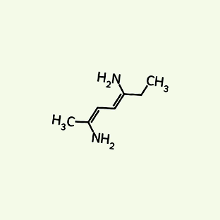 CC/C(N)=C/C=C(/C)N